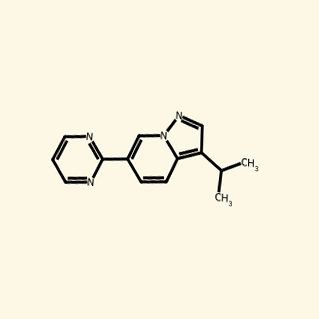 CC(C)c1cnn2cc(-c3ncccn3)ccc12